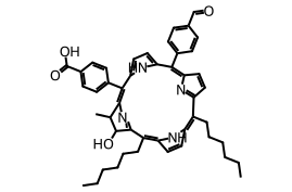 CCCCCCc1c2nc(c(-c3ccc(C=O)cc3)c3ccc([nH]3)c(-c3ccc(C(=O)O)cc3)c3nc(c(CCCCCC)c4ccc1[nH]4)C(O)C3C)C=C2